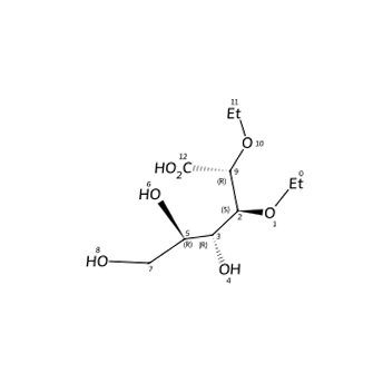 CCO[C@@H]([C@H](O)[C@H](O)CO)[C@@H](OCC)C(=O)O